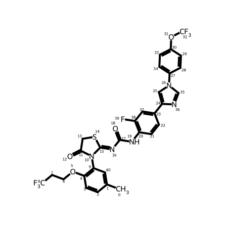 Cc1ccc(OCCC(F)(F)F)c(N2C(=O)CSC2=NC(=O)Nc2ccc(-c3cn(-c4ccc(OC(F)(F)F)cc4)cn3)cc2F)c1